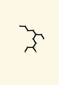 CCCCC(CC)CC[C](C)CC